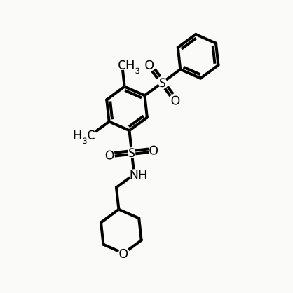 Cc1cc(C)c(S(=O)(=O)c2ccccc2)cc1S(=O)(=O)NCC1CCOCC1